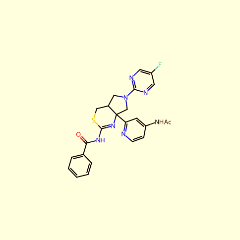 CC(=O)Nc1ccnc(C23CN(c4ncc(F)cn4)CC2CSC(NC(=O)c2ccccc2)=N3)c1